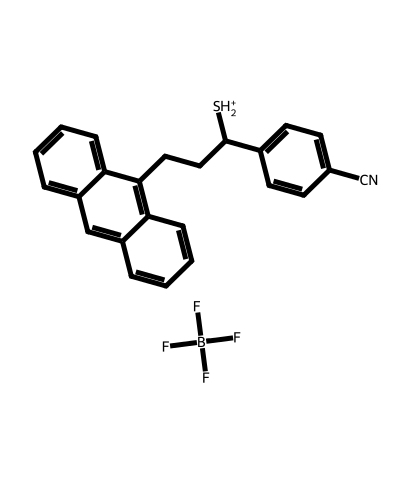 F[B-](F)(F)F.N#Cc1ccc(C([SH2+])CCc2c3ccccc3cc3ccccc23)cc1